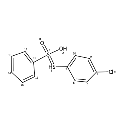 O=S(O)(=[SH]c1ccc(Cl)cc1)c1ccccc1